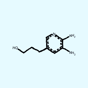 Nc1cc(CCCO)cnc1N